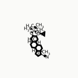 CC(C)(C)[Si](C)(C)OC1C[C@@H]2CC[C@@H]3[C@H](CC[C@]4(C)[C@@H](C#N)CC[C@@H]34)[C@@]2(C)C[C@@H]1OC1CC1